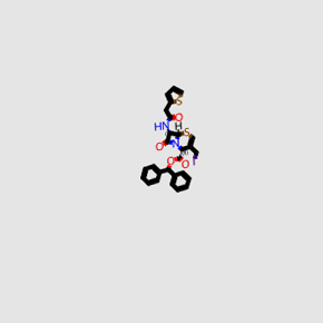 O=C(Cc1cccs1)N[C@@H]1C(=O)N2[C@@H](C(=O)OC(c3ccccc3)c3ccccc3)C(CI)=CS[C@H]12